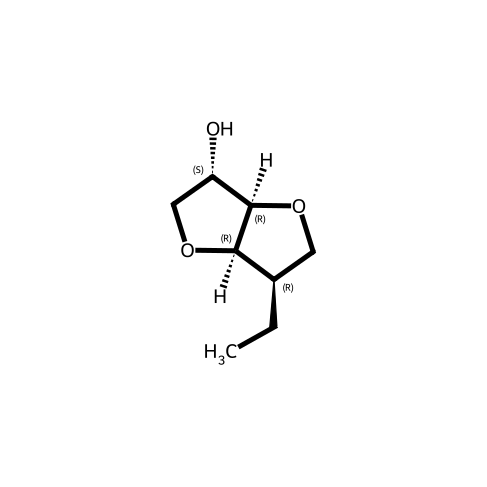 CC[C@@H]1CO[C@H]2[C@@H]1OC[C@@H]2O